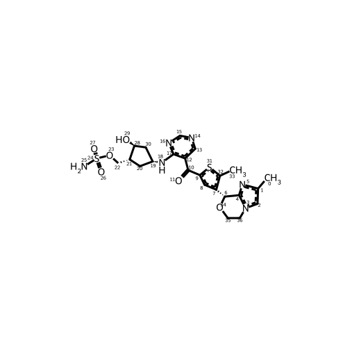 Cc1cn2c(n1)[C@@H](c1cc(C(=O)c3cncnc3N[C@@H]3C[C@H](COS(N)(=O)=O)[C@@H](O)C3)sc1C)OCC2